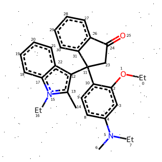 CCOc1cc(N(C)CC)ccc1C1(c2c(C)n(CC)c3ccccc23)CC(=O)c2ccccc21